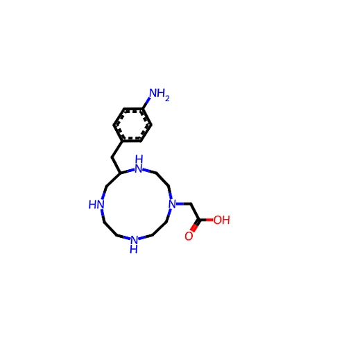 Nc1ccc(CC2CNCCNCCN(CC(=O)O)CCN2)cc1